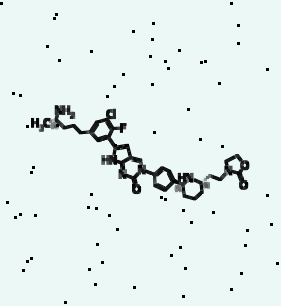 C[C@H](N)CCCc1cc(Cl)c(F)c(-c2cc3cn(-c4ccc([C@@H]5CCC[C@@H](CCN6CCOC6=O)N5)cc4)c(=O)nc3[nH]2)c1